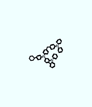 c1ccc(N(c2ccccc2)c2ccc(Cc3ccc(N(c4ccc(C5CCCCC5)cc4)c4ccc5c6ccccc6n(-c6ccccc6)c5c4)cc3)cc2)cc1